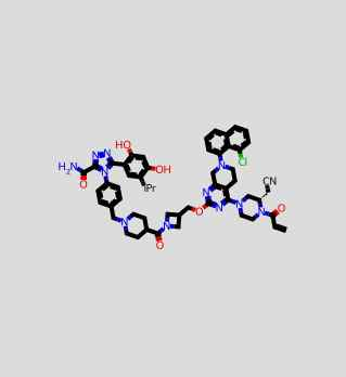 C=CC(=O)N1CCN(c2nc(OCC3CN(C(=O)C4CCN(Cc5ccc(-n6c(C(N)=O)nnc6-c6cc(C(C)C)c(O)cc6O)cc5)CC4)C3)nc3c2CCN(c2cccc4cccc(Cl)c24)C3)C[C@@H]1CC#N